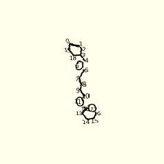 C1=CCC(COCCCCCOC2CCCCO2)CC1